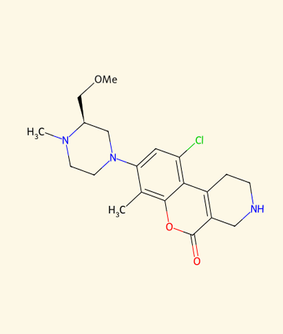 COC[C@H]1CN(c2cc(Cl)c3c4c(c(=O)oc3c2C)CNCC4)CCN1C